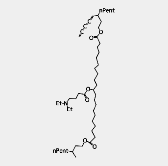 C=C=C=C=CC(CCCCC)CCOC(=O)CCCCCCCCCC(CCCCCCCCCC(=O)OCCC(C)CCCCC)OC(=O)CCCN(CC)CC